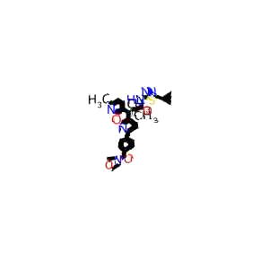 Cc1ccc2c(n1)Oc1nc(-c3ccc(C(=O)N4CCOCC4)cc3)ccc1[C@H]2C(C)(C)C(=O)Nc1nnc(C2CC2)s1